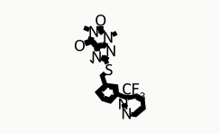 Cn1c(=O)c2c(nc(SCc3cccc(C4(C(F)(F)F)C=CC=CN=N4)c3)n2C)n(C)c1=O